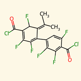 CC(C)=C1C(c2cc(F)c(C(=O)Cl)c(F)c2F)=C(F)C(F)=C(C(=O)Cl)C1F